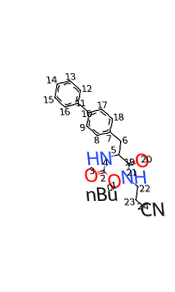 CCCCOC(=O)NC(Cc1ccc(-c2ccccc2)cc1)C(=O)NCCC#N